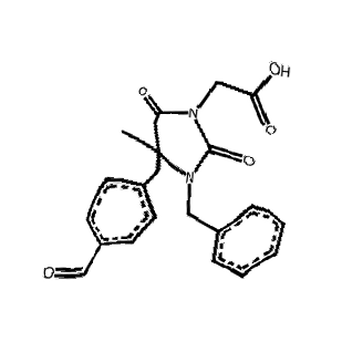 CC1(c2ccc(C=O)cc2)C(=O)N(CC(=O)O)C(=O)N1Cc1ccccc1